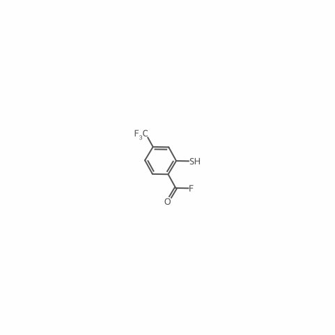 O=C(F)c1ccc(C(F)(F)F)cc1S